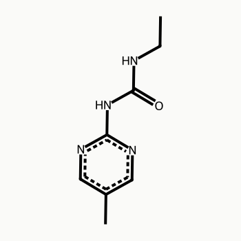 CCNC(=O)Nc1ncc(C)cn1